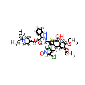 COc1ccc([C@H](Cc2c(Cl)c[n+]([O-])cc2Cl)c2cc(CNC(C(=O)OCC3CCN(C(C)C)CC3)c3ccccc3)sc2C(=O)O)cc1OC